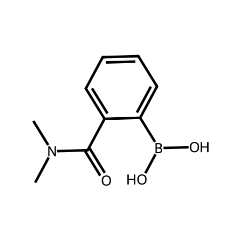 CN(C)C(=O)c1ccccc1B(O)O